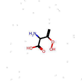 C=C(OO)C(N)C(=O)O